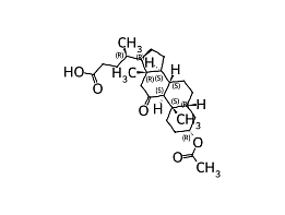 CC(=O)O[C@@H]1CC[C@@]2(C)[C@H](CC[C@H]3[C@@H]4CC[C@H]([C@H](C)CCC(=O)O)[C@@]4(C)CC(=O)[C@@H]32)C1